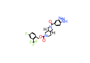 O=C(OCc1ccc(F)cc1C(F)(F)F)N1CC[C@H]2CN(C(=O)c3ccc4[nH]nnc4c3)C[C@@H]2C1